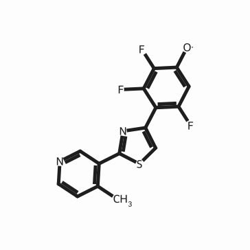 Cc1ccncc1-c1nc(-c2c(F)cc([O])c(F)c2F)cs1